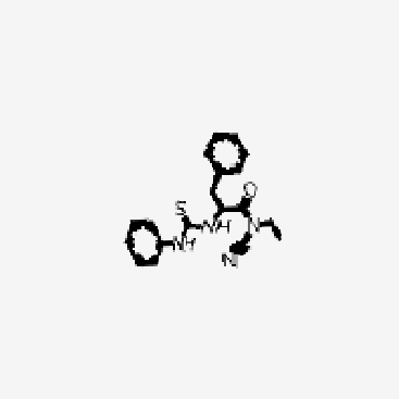 CCN(C#N)C(=O)C(Cc1ccccc1)NC(=S)Nc1ccccc1